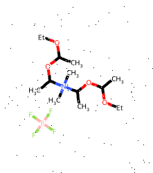 CCOC(C)OC(C)[N+](C)(C)C(C)OC(C)OCC.F[B-](F)(F)F